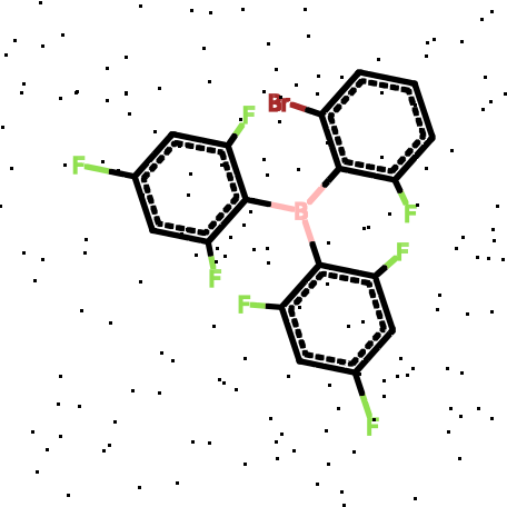 Fc1cc(F)c(B(c2c(F)cc(F)cc2F)c2c(F)cccc2Br)c(F)c1